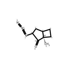 C[C@@]12CCC1CC(N=[N+]=[N-])C2=O